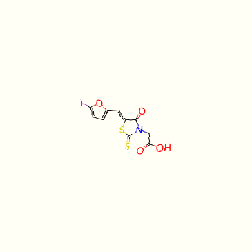 O=C(O)CN1C(=O)/C(=C/c2ccc(I)o2)SC1=S